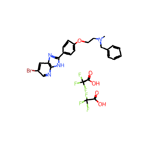 CN(CCOc1ccc(-c2nc3cc(Br)cnc3[nH]2)cc1)Cc1ccccc1.O=C(O)C(F)(F)F.O=C(O)C(F)(F)F